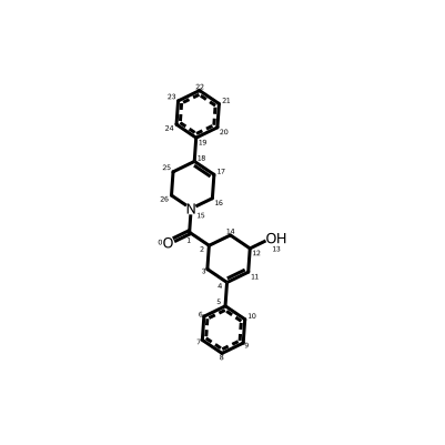 O=C(C1CC(c2ccccc2)=CC(O)C1)N1CC=C(c2ccccc2)CC1